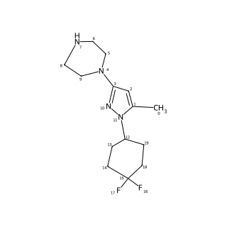 Cc1cc(N2CCNCC2)nn1C1CCC(F)(F)CC1